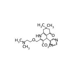 CCOC(=O)C1=C(COCCN(C)C)NC2=C(C(=O)CC(C)(C)C2)C1c1cccnc1